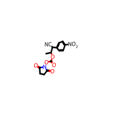 CC(OC(=O)ON1C(=O)CCC1=O)C(C#N)c1ccc([N+](=O)[O-])cc1